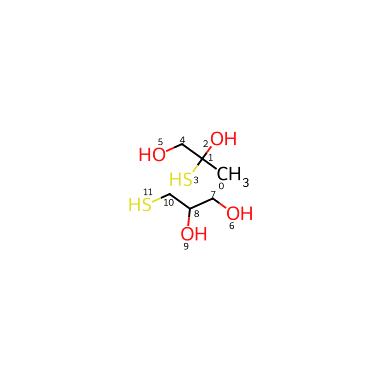 CC(O)(S)CO.OCC(O)CS